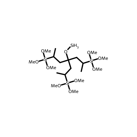 CO[Si](OC)(OC)C(C)CC(CC(C)[Si](OC)(OC)OC)(CC(C)[Si](OC)(OC)OC)O[SiH3]